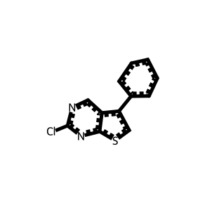 Clc1ncc2c(-c3ccccc3)csc2n1